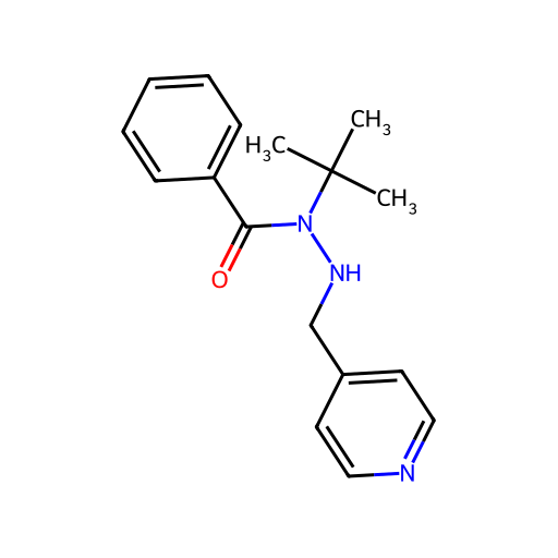 CC(C)(C)N(NCc1ccncc1)C(=O)c1ccccc1